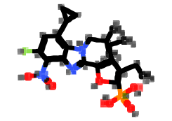 CCc1c(-c2nc3c([N+](=O)[O-])c(F)cc(C4CC4)c3n2CC(C)C)oc(P(=O)(O)O)c1CC